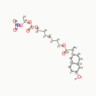 COc1ccc2cc([C@H](C)C(=O)OCCCSCCCOC(=O)OC(C)O[N+](=O)[O-])ccc2c1